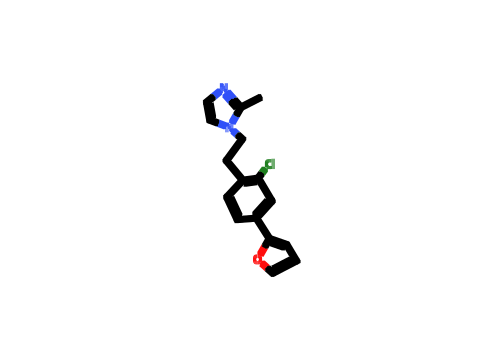 Cc1nccn1CCc1ccc(-c2ccco2)cc1Cl